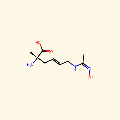 C/C(=N/O)NC/C=C/C[C@](C)(N)C(=O)O